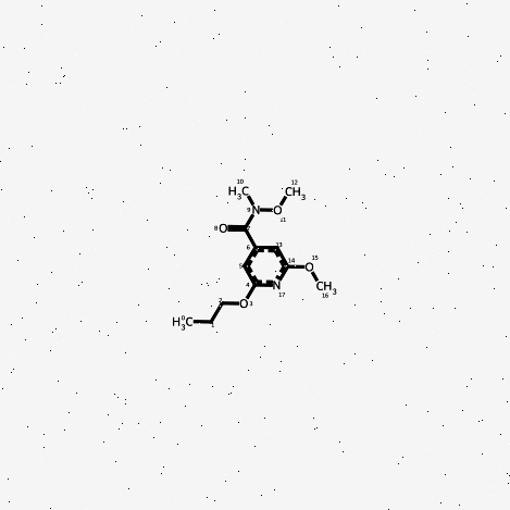 CCCOc1cc(C(=O)N(C)OC)cc(OC)n1